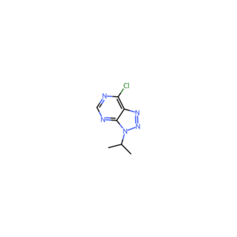 CC(C)n1nnc2c(Cl)ncnc21